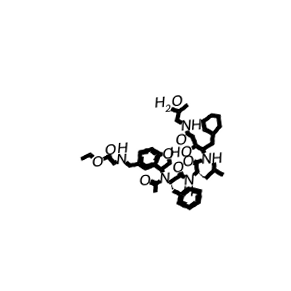 CCOC(=O)CNCc1ccc2c(c1)C(N(C(C)=O)[C@@H](Cc1ccccc1)C(=O)N[C@@H](CC(C)C)C(=O)NC(CC1CCCCC1)C(O)CC(=O)NCC(C)C)CO2.O